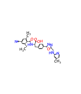 CCc1cc(C#N)cc(C)c1C(=O)NC(Cc1ccc(-c2nnc(CNc3cc(C)ccn3)o2)cc1)C(=O)O